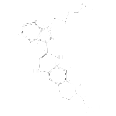 NCCCCn1cc(C2=CNc3cc4c(cc3N2)OC(CC(=O)O)CO4)c2ccccc21